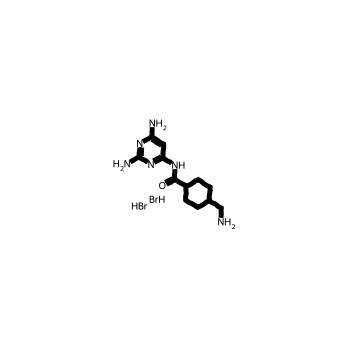 Br.Br.NCC1CCC(C(=O)Nc2cc(N)nc(N)n2)CC1